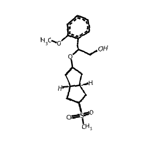 COc1ccccc1C(CO)OC1C[C@@H]2CC(S(C)(=O)=O)C[C@@H]2C1